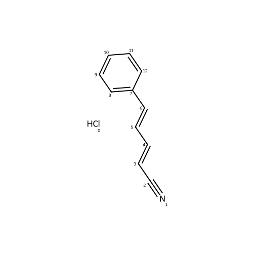 Cl.N#CC=CC=Cc1ccccc1